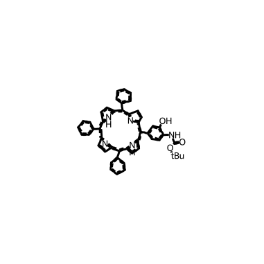 CC(C)(C)OC(=O)Nc1ccc(-c2c3nc(c(-c4ccccc4)c4ccc([nH]4)c(-c4ccccc4)c4nc(c(-c5ccccc5)c5ccc2[nH]5)C=C4)C=C3)cc1O